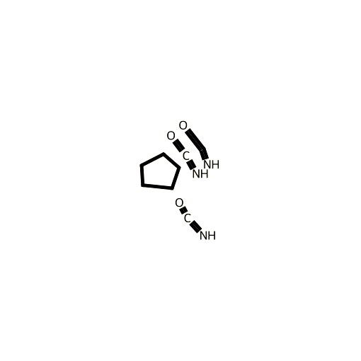 C1CCCC1.N=C=O.N=C=O.N=C=O